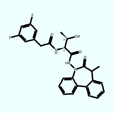 CC1C(=O)N(NC(=O)[C@@H](NC(=O)Cc2cc(F)cc(F)c2)[C@@H](C)O)c2ccccc2-c2ccccc21